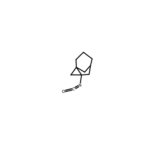 O=C=NC12CC3CCCC1(C3)C2